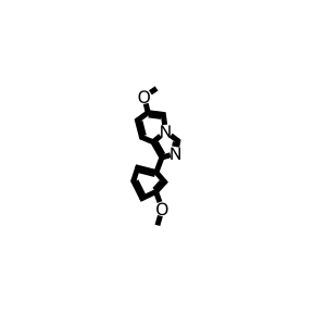 COc1cccc(-c2ncn3cc(OC)ccc23)c1